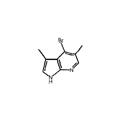 Cc1cnc2[nH]cc(C)c2c1Br